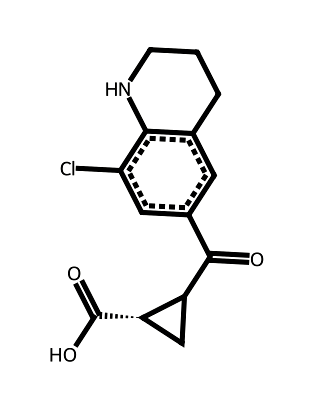 O=C(c1cc(Cl)c2c(c1)CCCN2)C1C[C@@H]1C(=O)O